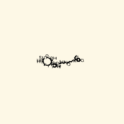 CC[C@H]1OC(=O)[C@H](C)[C@@H](O)C(C)[C@@H](O[C@@H]2O[C@H](C)C[C@H](N(C)C)[C@H]2OCCCNC(=O)CCCNc2ccnc3cc(Cl)ccc23)[C@](C)(O)C[C@@H](C)CN(C)[C@H](C)[C@@H](O)[C@]1(C)O